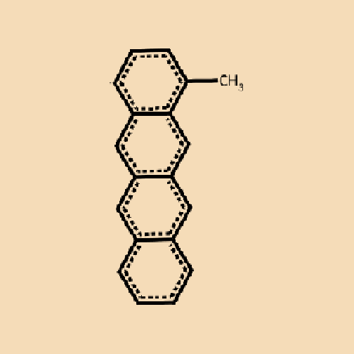 Cc1cc[c]c2cc3cc4ccccc4cc3cc12